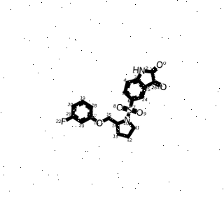 O=C1Nc2ccc(S(=O)(=O)N3CCCC3COc3cccc(F)c3)cc2C1=O